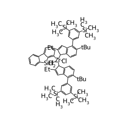 CCC1=Cc2c(ccc(C(C)(C)C)c2-c2cc([Si](C)(C)C)cc([Si](C)(C)C)c2)[CH]1[Zr]([Cl])([Cl])([c]1cccc2c1[SiH2]c1ccccc1-2)[CH]1C(CC)=Cc2c1ccc(C(C)(C)C)c2-c1cc([Si](C)(C)C)cc([Si](C)(C)C)c1